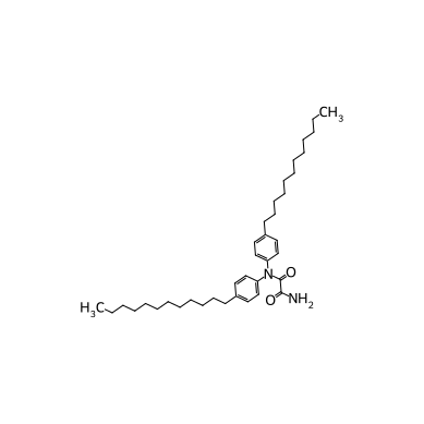 CCCCCCCCCCCCc1ccc(N(C(=O)C(N)=O)c2ccc(CCCCCCCCCCCC)cc2)cc1